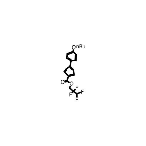 CCCCOc1ccc(-c2ccc(C(=O)OCC(F)(F)C(F)F)cc2)cc1